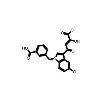 O=C(O)C(O)=CC(=O)c1cn(Cc2cccc(C(=O)O)c2)c2ccc(Cl)cc12